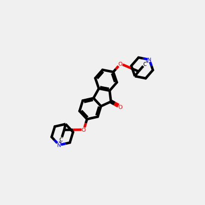 O=C1c2cc(OC3CN4CCC3CC4)ccc2-c2ccc(OC3CN4CCC3CC4)cc21